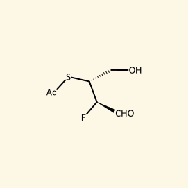 CC(=O)S[C@H](CO)[C@H](F)C=O